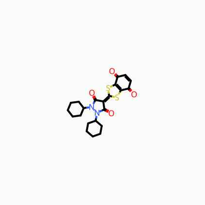 O=C1C=CC(=O)C2=C1SC(=C1C(=O)N(C3CCCCC3)N(C3CCCCC3)C1=O)S2